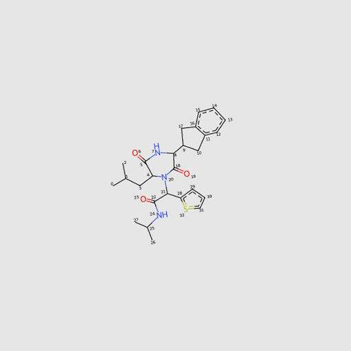 CC(C)CC1C(=O)NC(C2Cc3ccccc3C2)C(=O)N1C(C(=O)NC(C)C)c1cccs1